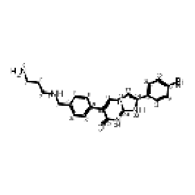 NCCCNCc1ccc(-c2cn3cc(-c4ccc(Br)cc4)[nH]c3nc2=O)cc1